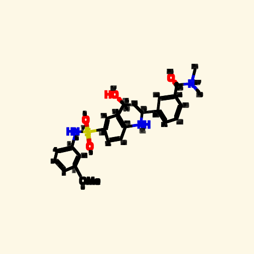 COc1cccc(NS(=O)(=O)c2ccc3c(c2)[C@@H](O)CC(c2cccc(C(=O)N(C)C)c2)N3)c1